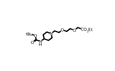 CCOC(=O)COCCOCCN1CCC(NC(=O)OC(C)(C)C)CC1